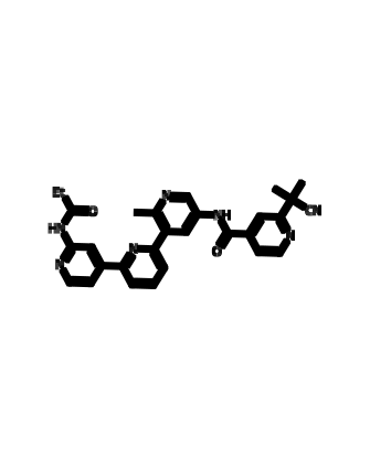 CCC(=O)Nc1cc(-c2cccc(-c3cc(NC(=O)c4ccnc(C(C)(C)C#N)c4)cnc3C)n2)ccn1